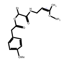 CCC(OC(=O)Cc1ccc(OC)cc1)C(=O)NC/C=C(/C)ON